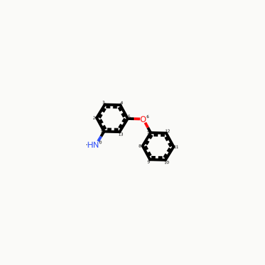 [NH]c1cccc(Oc2ccccc2)c1